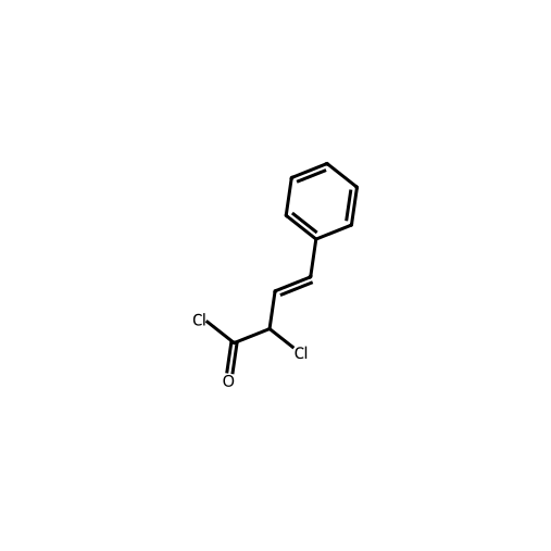 O=C(Cl)C(Cl)C=Cc1ccccc1